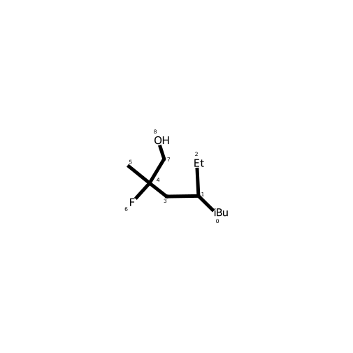 CCC(C)C(CC)CC(C)(F)CO